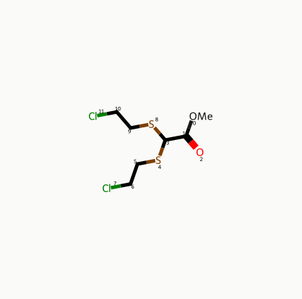 COC(=O)C(SCCCl)SCCCl